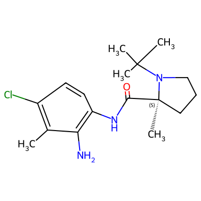 Cc1c(Cl)ccc(NC(=O)[C@]2(C)CCCN2C(C)(C)C)c1N